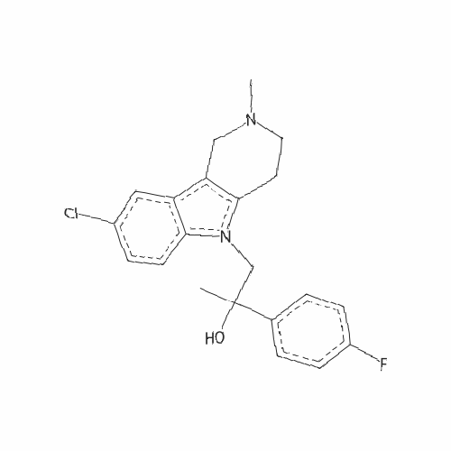 CN1CCc2c(c3cc(Cl)ccc3n2CC(C)(O)c2ccc(F)cc2)C1